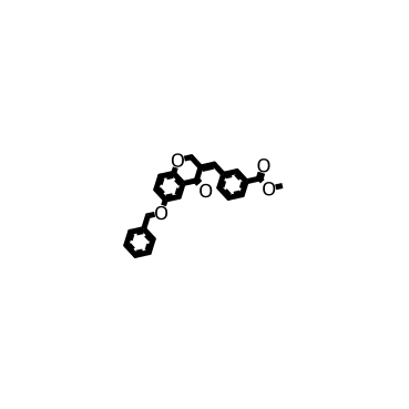 COC(=O)c1cccc(/C=C2/COc3ccc(OCc4ccccc4)cc3C2=O)c1